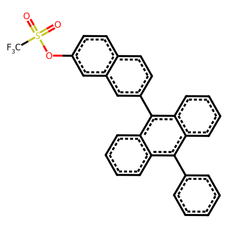 O=S(=O)(Oc1ccc2ccc(-c3c4ccccc4c(-c4ccccc4)c4ccccc34)cc2c1)C(F)(F)F